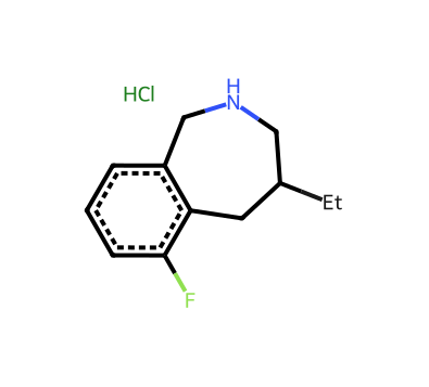 CCC1CNCc2cccc(F)c2C1.Cl